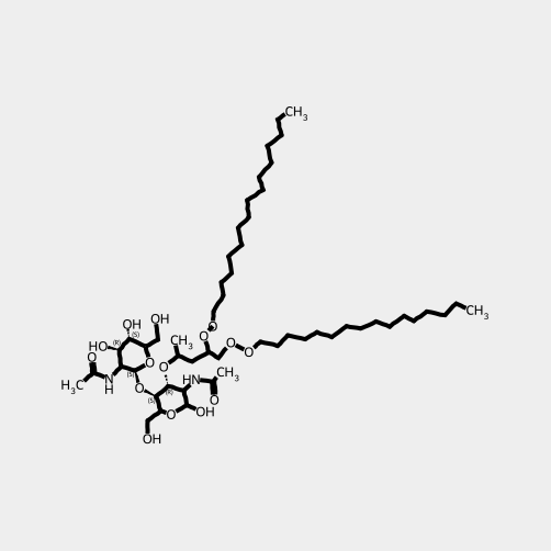 CCCCCCCCCCCCCCCCOOCC(CC(C)O[C@@H]1C(NC(C)=O)C(O)OC(CO)[C@H]1O[C@@H]1OC(CO)[C@@H](O)[C@H](O)C1NC(C)=O)OOCCCCCCCCCCCCCCCC